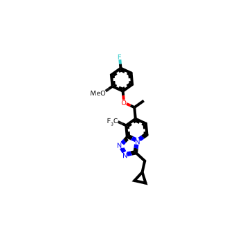 COc1cc(F)ccc1OC(C)c1ccn2c(CC3CC3)nnc2c1C(F)(F)F